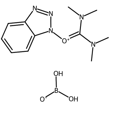 CN(C)C(=[O+]n1nnc2ccccc21)N(C)C.[O-]B(O)O